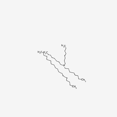 CCCCCCCCCCCCCCCCCC.CCCCCCCCP(CCCCCCCC)CCCCCCCC